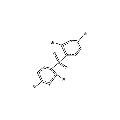 O=S(=O)(c1[c]cc(Br)[c]c1Br)c1[c]cc(Br)[c]c1Br